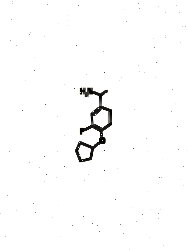 CC(N)c1ccc(OC2CCCC2)c(F)c1